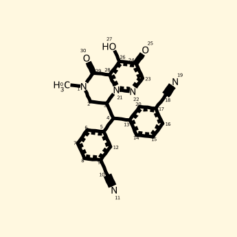 CN1CC(C(c2cccc(C#N)c2)c2cccc(C#N)c2)n2ncc(=O)c(O)c2C1=O